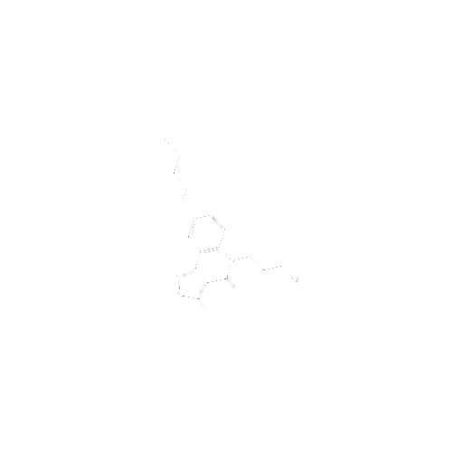 Cc1[nH]nc2c1c(=O)n(CCCN)c1ccc(OCCCN)cc21